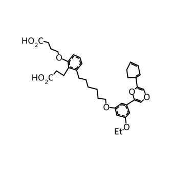 CCOc1cc(OCCCCCCc2cccc(OCCCC(=O)O)c2CCC(=O)O)cc(C2=COC=C(C3=CC=CCC3)O2)c1